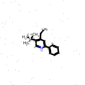 CC(C)Cc1cc(-c2ccccc2)ncc1[Si](C)(C)C